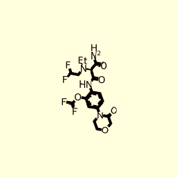 CCN(CC(F)F)[C@@H](C(N)=O)C(=O)Nc1ccc(N2CCOCC2=O)cc1OC(F)F